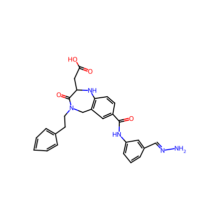 NN=Cc1cccc(NC(=O)c2ccc3c(c2)CN(CCc2ccccc2)C(=O)C(CC(=O)O)N3)c1